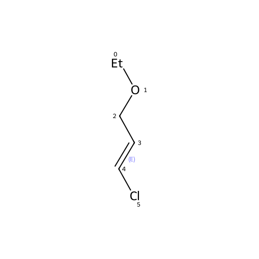 CCOC/C=C/Cl